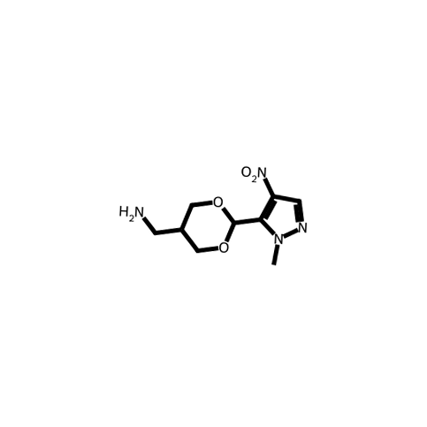 Cn1ncc([N+](=O)[O-])c1C1OCC(CN)CO1